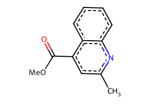 COC(=O)c1cc(C)nc2ccccc12